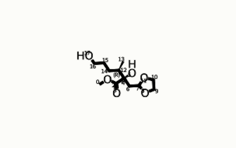 COC(=O)[C@@](O)(CC1OCCO1)[C@H](C)CCCO